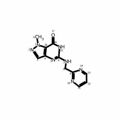 Cn1ncc2nc(NCc3ncccn3)[nH]c(=O)c21